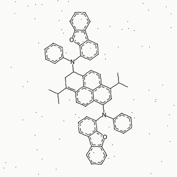 CC(C)C1=c2ccc3c(N(c4ccccc4)c4cccc5c4oc4ccccc45)cc(C(C)C)c4ccc(c2c43)C(N(c2ccccc2)c2cccc3c2oc2ccccc23)C1